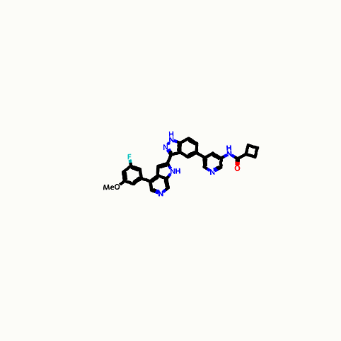 COc1cc(F)cc(-c2cncc3[nH]c(-c4n[nH]c5ccc(-c6cncc(NC(=O)C7CCC7)c6)cc45)cc23)c1